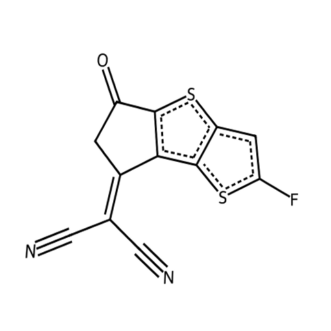 N#CC(C#N)=C1CC(=O)c2sc3cc(F)sc3c21